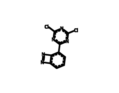 Clc1nc(Cl)nc(-c2cccc3c2N=N3)n1